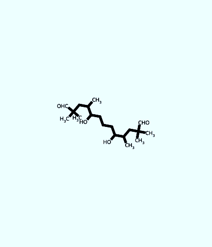 CC(CC(C)(C)C=O)C(O)CCCC(O)C(C)CC(C)(C)C=O